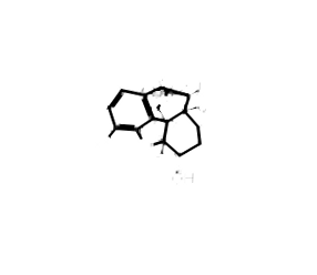 Oc1ccc2c3c1O[C@H]1[C@@H](O)CC[C@@]4(O)[C@@H](C2)NCC[C@]314